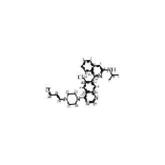 CC(C)Nc1cc2ccccc2c(-c2cc3ncnc(N4CCN(C=CC=O)CC4)c3cc2Cl)n1